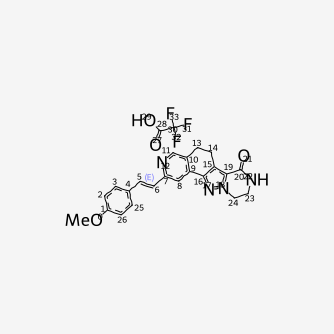 COc1ccc(/C=C/c2cc3c(cn2)CCc2c-3nn3c2C(=O)NCC3)cc1.O=C(O)C(F)(F)F